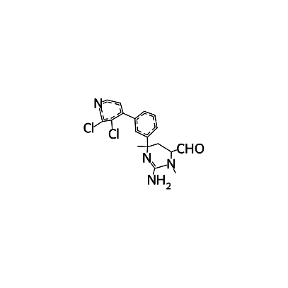 CN1C(N)=NC(C)(c2cccc(-c3ccnc(Cl)c3Cl)c2)CC1C=O